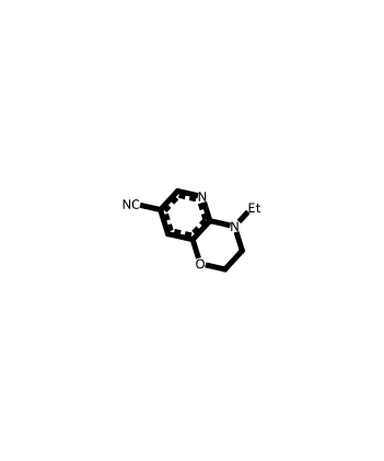 CCN1CCOc2cc(C#N)cnc21